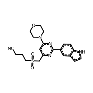 N#CCCCS(=O)(=O)Cc1cc(N2CCOCC2)nc(-c2ccc3[nH]ccc3c2)n1